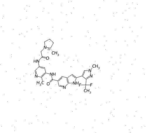 Cc1ncc(NC(=O)CN2CCC[C@@H]2C)cc1NC(=O)c1cnc2[nH]c(-c3cn(C)nc3C(C)(F)F)cc2c1